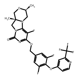 C[C@H]1CN2c3c(F)c(OCc4cc(F)c(Oc5ccnc(C(F)(F)F)c5)c(F)c4)nc(=O)n3C[C@]2(C)CO1